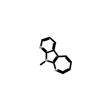 Cn1c2c(c3cccnc31)C=CC=C=N2